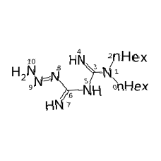 CCCCCCN(CCCCCC)C(=N)NC(=N)N=NN